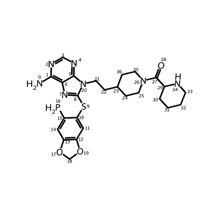 Nc1ncnc2c1nc(Sc1cc3c(cc1P)OCO3)n2CCC1CCN(C(=O)C2CCCCN2)CC1